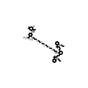 CCCN1C(=CC=C2CCCC(C=CC3=[N+](CCC)c4ccccc4C3(C)C)=C2NCCCOCCOCCOCCOCCOCCCNc2cc(-n3nc(C)c4c3CC(C)(C)CC4=O)ccc2C(N)=O)C(C)(C)c2ccccc21